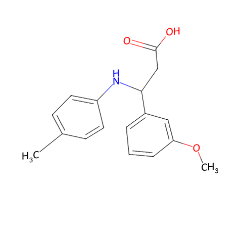 COc1cccc(C(CC(=O)O)Nc2ccc(C)cc2)c1